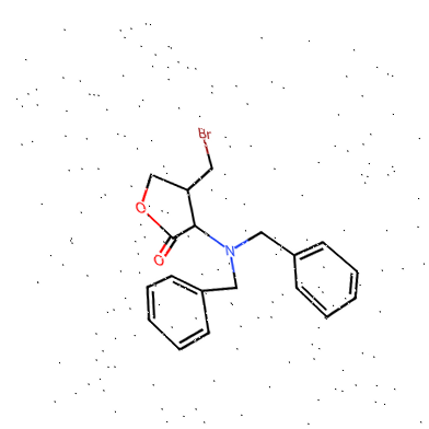 O=C1OCC(CBr)C1N(Cc1ccccc1)Cc1ccccc1